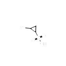 O=S(=O)(O)C1CC1Br